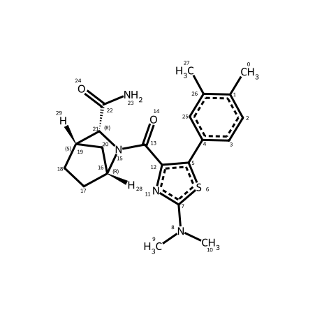 Cc1ccc(-c2sc(N(C)C)nc2C(=O)N2[C@@H]3CC[C@@H](C3)[C@@H]2C(N)=O)cc1C